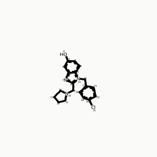 Oc1ccc2c(c1)nc(CN1CCCC1)n2Cc1ccc(Cl)cc1